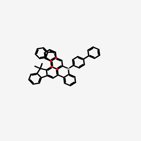 CC1(C)c2ccccc2-c2cc(-c3ccccc3N(c3ccc(-c4ccccc4)cc3)c3ccc4c(c3)oc3ccccc34)cc(-c3ccccc3)c21